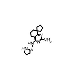 Nc1nc(NC[C@@H]2CCCN2)c2c(n1)C1(CCCC1)CCC2